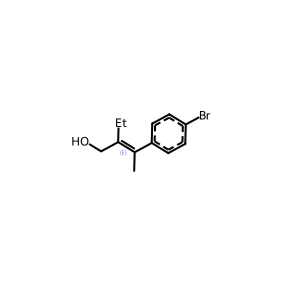 CC/C(CO)=C(/C)c1ccc(Br)cc1